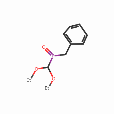 CCOC(OCC)[P](=O)Cc1ccccc1